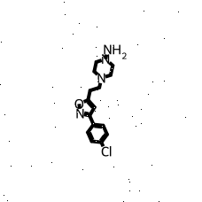 NN1CCN(CCc2cc(-c3ccc(Cl)cc3)no2)CC1